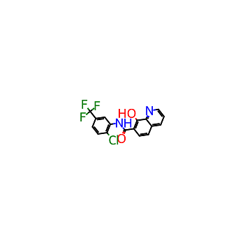 O=C(Nc1cc(C(F)(F)F)ccc1Cl)c1ccc2cccnc2c1O